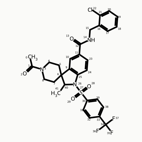 CC(=O)N1CCC2(CC1)c1cc(C(=O)NCc3ccccc3Cl)ccc1N(S(=O)(=O)c1ccc(C(F)(F)F)cc1)C2C